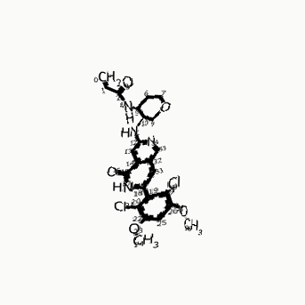 C=CC(=O)N[C@H]1CCOC[C@H]1Nc1cc2c(=O)[nH]c(-c3c(Cl)c(OC)cc(OC)c3Cl)cc2cn1